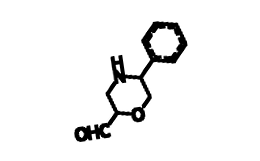 O=CC1CNC(c2ccccc2)CO1